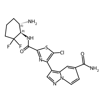 NC(=O)c1ccn2ncc(-c3nc(C(=O)N[C@@H]4[C@@H](N)CCCC4(F)F)sc3Cl)c2c1